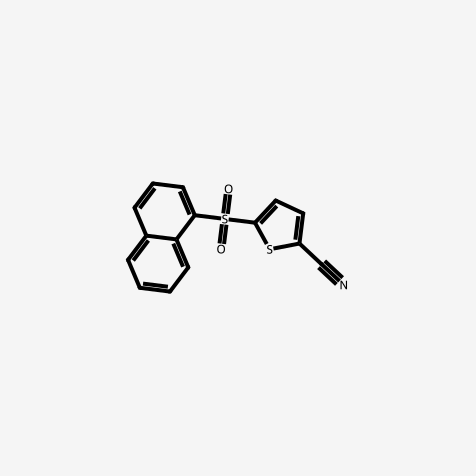 N#Cc1ccc(S(=O)(=O)c2cccc3ccccc23)s1